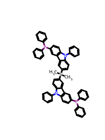 C[Si](C)(c1ccc2c(c1)c1cc(P(c3ccccc3)c3ccccc3)ccc1n2-c1ccccc1)c1ccc2c(c1)c1cc(P(c3ccccc3)c3ccccc3)ccc1n2-c1ccccc1